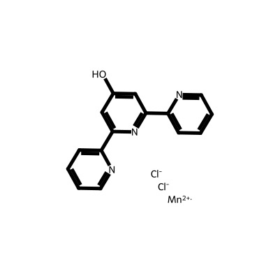 Oc1cc(-c2ccccn2)nc(-c2ccccn2)c1.[Cl-].[Cl-].[Mn+2]